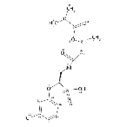 CC(C)C(=O)O[C@H](C)OC(=O)NC[C@H](Oc1cccc(Cl)c1)C(=O)O